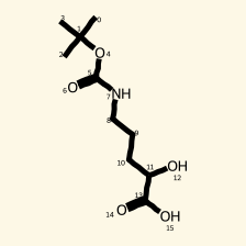 CC(C)(C)OC(=O)NCCCC(O)C(=O)O